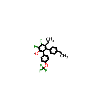 CCc1ccc(-c2c(CC)c(F)c(F)c([O])c2-c2ccc(OC(F)(F)F)cc2)cc1